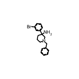 NC1(c2cccc(Br)c2)CCCN(Cc2ccccc2)C1